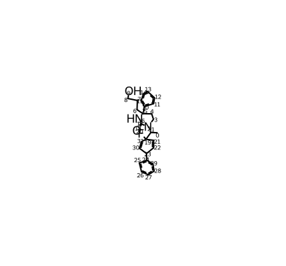 CC(N1CCC(CCCO)(c2ccccc2)NC1=O)C1(F)C=CC(c2ccccc2)C=C1